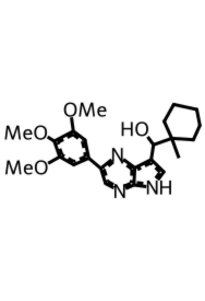 COc1cc(-c2cnc3[nH]cc(C(O)C4(C)CCCCC4)c3n2)cc(OC)c1OC